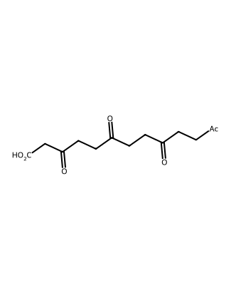 CC(=O)CCC(=O)CCC(=O)CCC(=O)CC(=O)O